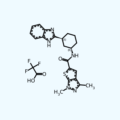 Cc1nn(C)c2sc(C(=O)N[C@@H]3CCC[C@H](c4nc5ccccc5[nH]4)C3)cc12.O=C(O)C(F)(F)F